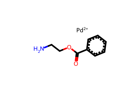 NCCOC(=O)c1ccccc1.[Pd+2]